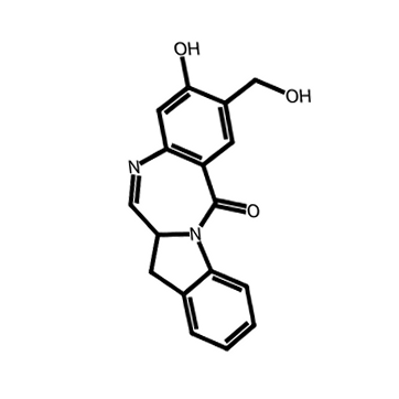 O=C1c2cc(CO)c(O)cc2N=CC2Cc3ccccc3N12